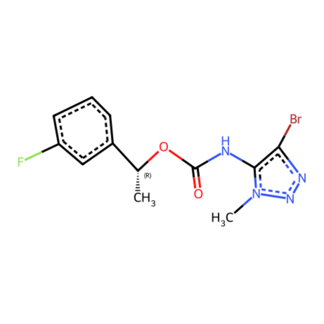 C[C@@H](OC(=O)Nc1c(Br)nnn1C)c1cccc(F)c1